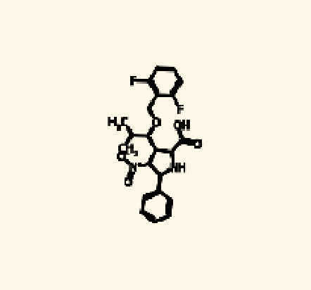 CC(C)C(OCc1c(F)cccc1F)C1C(C(=O)O)NC(c2ccccc2)C1[N+](=O)[O-]